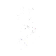 Cc1nc([C@]23CCC(C)(C)C[C@H]2[C@H]2C(=O)C=C4[C@@]5(C)C=C(C#N)C(=O)C(C)(C)[C@@H]5CC[C@@]4(C)[C@]2(C)CC3)no1